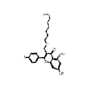 CCCCCCCCCCCCCCCCOCc1c(-c2ccc(F)cc2)oc2cc(O)cc(O)c2c1=O